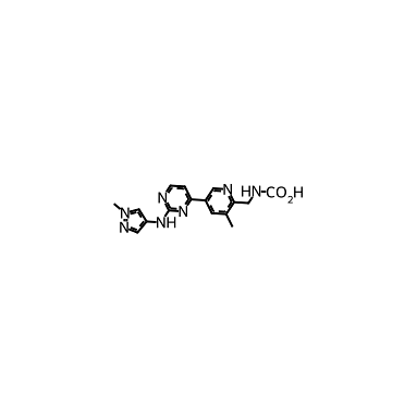 Cc1cc(-c2ccnc(Nc3cnn(C)c3)n2)cnc1CNC(=O)O